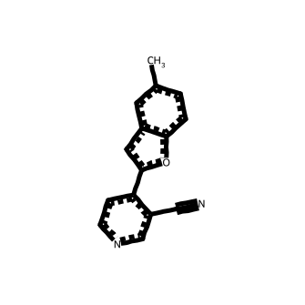 Cc1ccc2oc(-c3ccncc3C#N)cc2c1